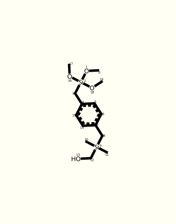 CO[Si](Cc1ccc(C[Si](C)(C)CO)cc1)(OC)OC